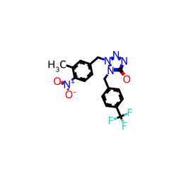 Cc1cc(Cn2nnc(=O)n2Cc2ccc(C(F)(F)F)cc2)ccc1[N+](=O)[O-]